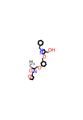 Cc1oc(-c2ccco2)nc1COc1cccc(COc2nn(Cc3ccccc3)cc2CO)c1